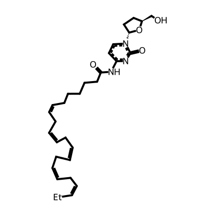 CC/C=C\C/C=C\C/C=C\C/C=C\C/C=C\CCCCCC(=O)Nc1ccn([C@@H]2CC[C@@H](CO)O2)c(=O)n1